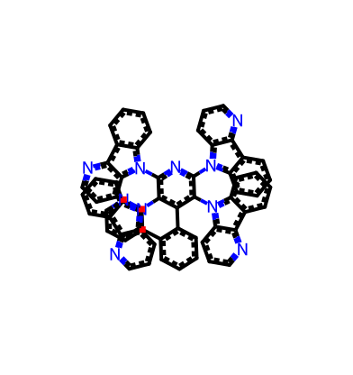 c1cncc(-c2ccccc2-c2c(-n3c4ccccc4c4ncccc43)c(-n3c4ccccc4c4ncccc43)nc(-n3c4ccccc4c4ncccc43)c2-n2c3ccccc3c3ncccc32)c1